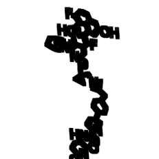 C#Cc1c(F)ccc2cc(O)cc(-c3ncc4c(N5CC6CCC(C5)N6)nc(OCC5(CN6CC(CC7CCC(c8ccc(C(=O)NC9CCC(=O)NC9=O)nc8)CC7)C6)CC5)cc4c3F)c12